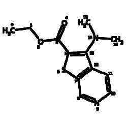 CCOC(=O)c1sc2cnccc2c1N(C)C